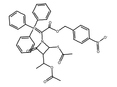 CC(=O)OC(C)C1C(=O)N(C(C(=O)OCc2ccc([N+](=O)[O-])cc2)=P(c2ccccc2)(c2ccccc2)c2ccccc2)C1SC(C)=O